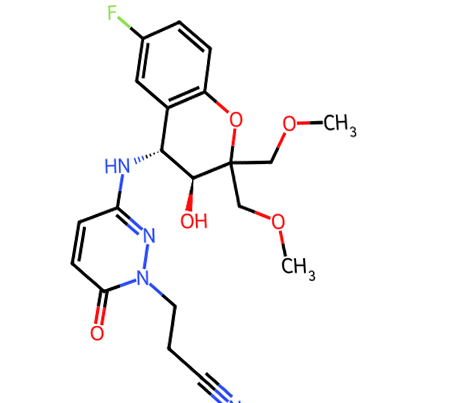 COCC1(COC)Oc2ccc(F)cc2[C@@H](Nc2ccc(=O)n(CCC#N)n2)[C@@H]1O